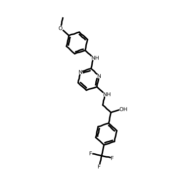 COc1ccc(Nc2nccc(NCC(O)c3ccc(C(F)(F)F)cc3)n2)cc1